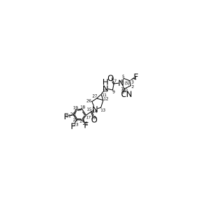 N#C[C@@H]1C[C@H](F)CN1C(=O)CNC1C2CN(C(=O)c3ccc(F)c(F)c3F)CC21